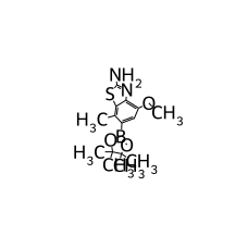 COc1cc(B2OC(C)(C)C(C)(C)O2)c(C)c2sc(N)nc12